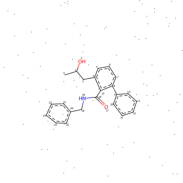 CC(O)Cc1cccc(-c2ccccc2)c1C(=O)NCc1ccccc1